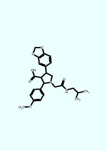 COc1ccc(C2C(C(=O)O)C(c3ccc4c(c3)OCO4)CN2CC(=O)NCC(C)C)cc1